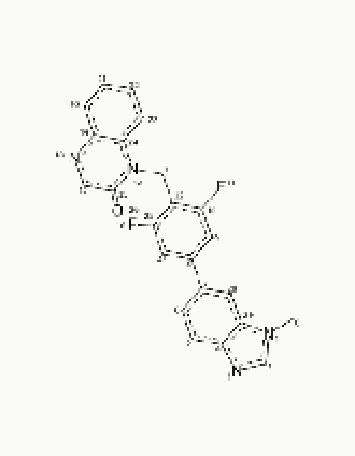 Cn1cnc2ccc(-c3cc(F)c(Cn4c(=O)cnc5ccccc54)c(F)c3)cc21